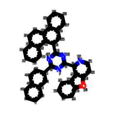 c1ccc2cc(-c3nc(-c4nccc5oc6ccccc6c45)nc(-c4cc5ccccc5c5ccc6ccccc6c45)n3)ccc2c1